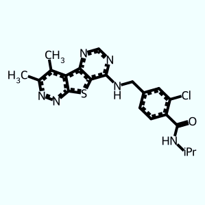 Cc1nnc2sc3c(NCc4ccc(C(=O)NC(C)C)c(Cl)c4)ncnc3c2c1C